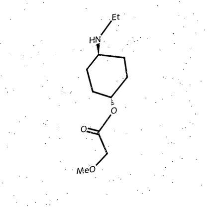 CCN[C@H]1CC[C@H](OC(=O)COC)CC1